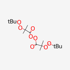 CC(C)(C)OOC(C)(C)C(=O)OOC(=O)C(C)(C)OOC(C)(C)C